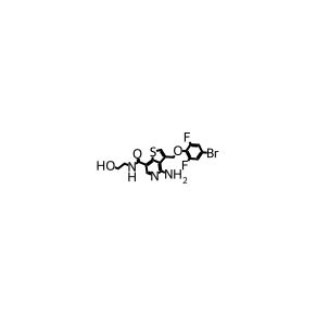 Nc1ncc(C(=O)NCCO)c2scc(COc3c(F)cc(Br)cc3F)c12